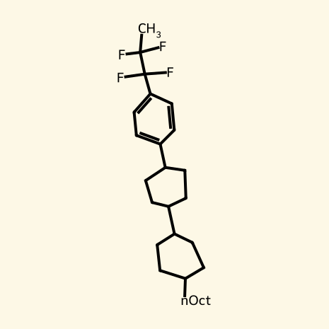 CCCCCCCCC1CCC(C2CCC(c3ccc(C(F)(F)C(C)(F)F)cc3)CC2)CC1